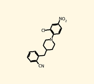 N#Cc1cc[c]cc1CC1CCN(c2ccc([N+](=O)[O-])cc2Cl)CC1